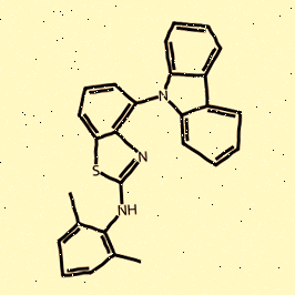 Cc1cccc(C)c1Nc1nc2c(-n3c4ccccc4c4ccccc43)cccc2s1